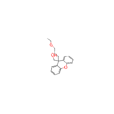 CCOCCCC1(CO)c2ccccc2Oc2ccccc21